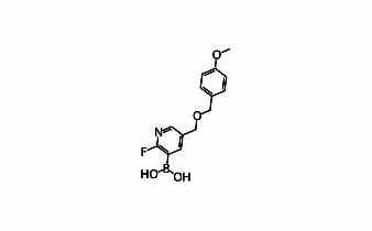 COc1ccc(COCc2cnc(F)c(B(O)O)c2)cc1